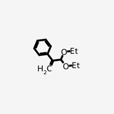 C=C(c1ccccc1)C(OCC)OCC